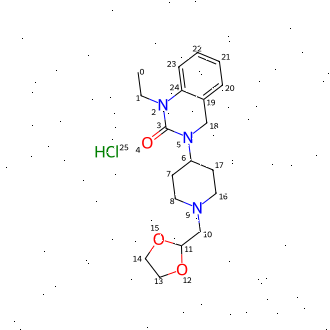 CCN1C(=O)N(C2CCN(CC3OCCO3)CC2)Cc2ccccc21.Cl